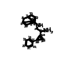 NC(CNC1C2CC3CC(C2)CC1C3)[C@@H]1C[C@H]1c1ccccc1